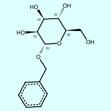 OC[C@H]1O[C@H](OCc2ccccc2)[C@@H](O)[C@@H](O)[C@@H]1O